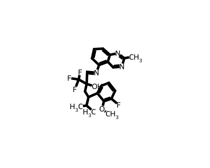 COc1c(F)cccc1C(CC(O)(C=Nc1cccc2nc(C)ncc12)C(F)(F)F)C(C)C